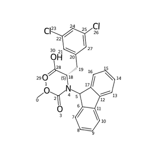 COC(=O)N(C1c2ccccc2-c2ccccc21)[C@@H](Cc1cc(Cl)cc(Cl)c1)C(=O)O